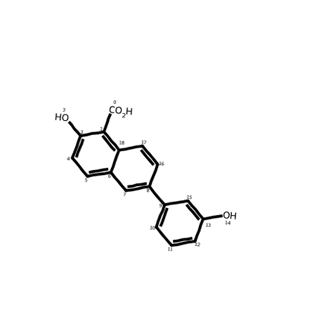 O=C(O)c1c(O)ccc2cc(-c3cccc(O)c3)ccc12